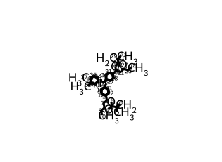 C=C(C)C(=O)OC(CCCC)c1ccc(N(c2ccc(C(CCCC)OC(=O)C(=C)C)cc2)c2ccc(C)c(C)c2)cc1